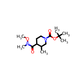 CON(C)C(=O)C1CCN(C(=O)OC(C)(C)C)CC1C